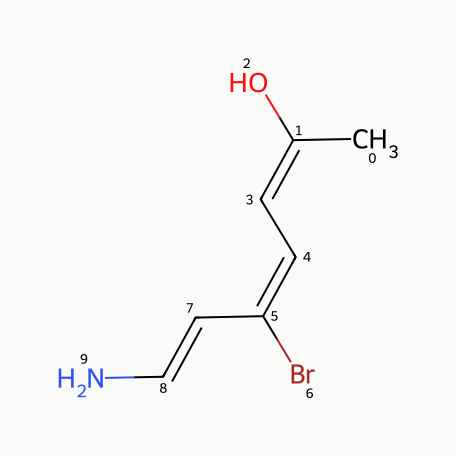 C\C(O)=C/C=C(Br)\C=C\N